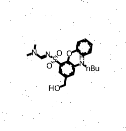 CCCCNc1cc(CO)cc(S(=O)(=O)/N=C/N(C)C)c1Oc1ccccc1